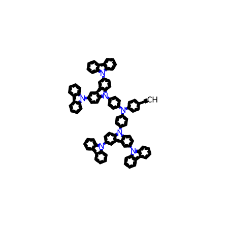 C#Cc1ccc(N(c2ccc(-n3c4ccc(-n5c6ccccc6c6ccccc65)cc4c4cc(-n5c6ccccc6c6ccccc65)ccc43)cc2)c2ccc(-n3c4ccc(-n5c6ccccc6c6ccccc65)cc4c4cc(-n5c6ccccc6c6ccccc65)ccc43)cc2)cc1